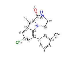 Cc1c2n(c3c(-c4cccc(C#N)c4)cc(Cl)cc13)CCNC2=O